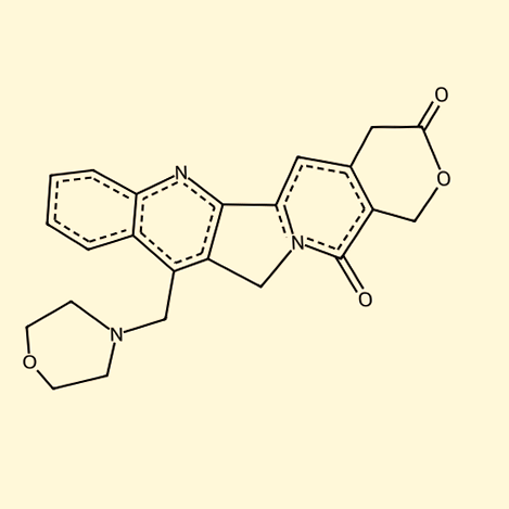 O=C1Cc2cc3n(c(=O)c2CO1)Cc1c-3nc2ccccc2c1CN1CCOCC1